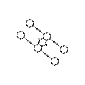 C(#Cc1ccc(C#Cc2ccccc2)c2nc3c(C#Cc4ccccc4)ccc(C#Cc4ccccc4)c3nc12)c1ccccc1